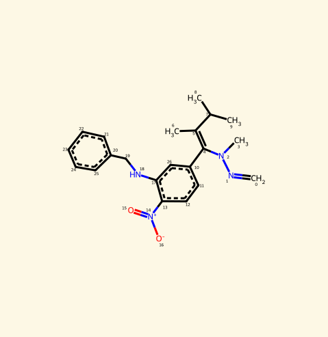 C=NN(C)/C(=C(/C)C(C)C)c1ccc([N+](=O)[O-])c(NCc2ccccc2)c1